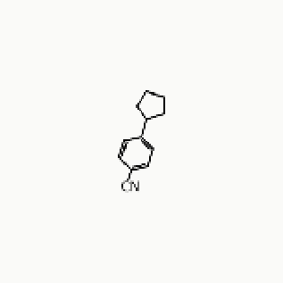 N#Cc1ccc(C2CCCC2)cc1